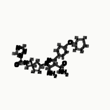 NC(=O)c1c(-c2ccc(Oc3ccccc3)cc2)nn(C2CCC3(C2)CN(C(=O)n2cncn2)C3)c1N